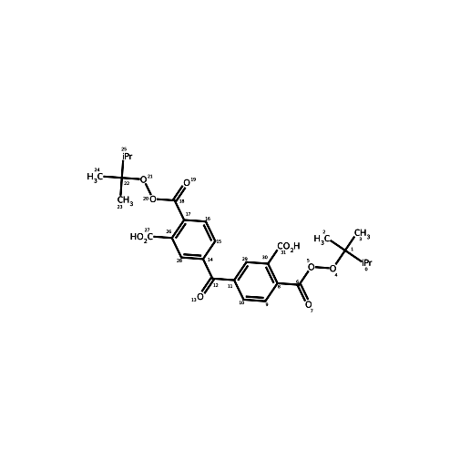 CC(C)C(C)(C)OOC(=O)c1ccc(C(=O)c2ccc(C(=O)OOC(C)(C)C(C)C)c(C(=O)O)c2)cc1C(=O)O